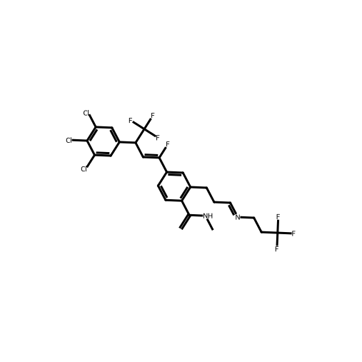 C=C(NC)c1ccc(/C(F)=C/C(c2cc(Cl)c(Cl)c(Cl)c2)C(F)(F)F)cc1CC/C=N/CCC(F)(F)F